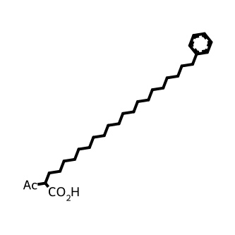 CC(=O)C(CCCCCCCCCCCCCCCCCCCCc1ccccc1)C(=O)O